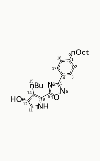 CCCCCCCCc1ccc(-c2noc(-c3[nH]cc(O)c3CCCC)n2)cc1